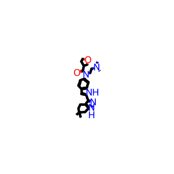 CN(C)CCN(C(=O)C1CCOC1)c1ccc2cc(-c3n[nH]c4c3CCC(C)(C)C4)[nH]c2c1